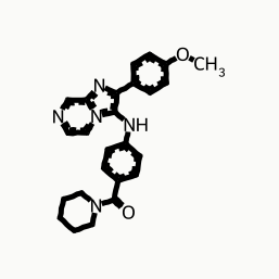 COc1ccc(-c2nc3cnccn3c2Nc2ccc(C(=O)N3CCCCC3)cc2)cc1